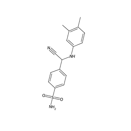 Cc1ccc(NC(C#N)c2ccc(S(N)(=O)=O)cc2)cc1C